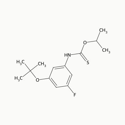 CC(C)OC(=S)Nc1cc(F)cc(OC(C)(C)C)c1